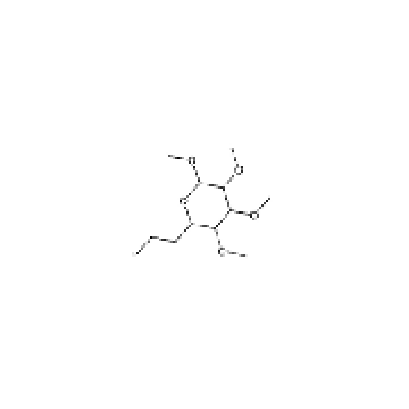 [CH2]CCC1OC(OC)C(OC)C(OC)C1OC